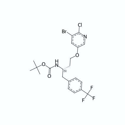 CC(C)(C)OC(=O)N[C@H](CCOc1cnc(Cl)c(Br)c1)Cc1ccc(C(F)(F)F)cc1